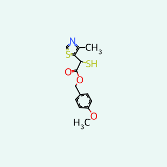 COc1ccc(COC(=O)C(S)c2scnc2C)cc1